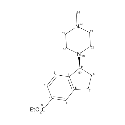 CCOC(=O)c1ccc2c(c1)CC[C@@H]2N1CCN(C)CC1